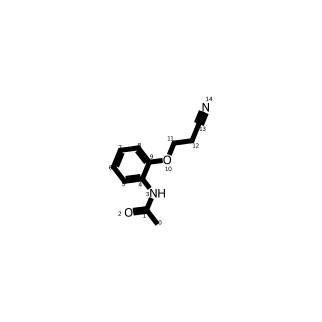 CC(=O)Nc1ccccc1OCCC#N